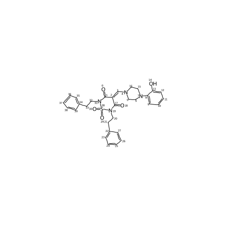 O=C1C(=CN2CCN(c3ccccc3O)CC2)C(=O)N(CCc2ccccc2)S(=O)(=O)N1CCc1ccccc1